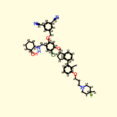 Cc1c(OCCCN2CCC(C)(F)CC2)cccc1-c1cccc2c1CC[C@@H]2Oc1cc(OCc2cc(C#N)cc(C#N)c2)c(CN[C@@H]2CCCC[C@@H]2O)cc1Cl